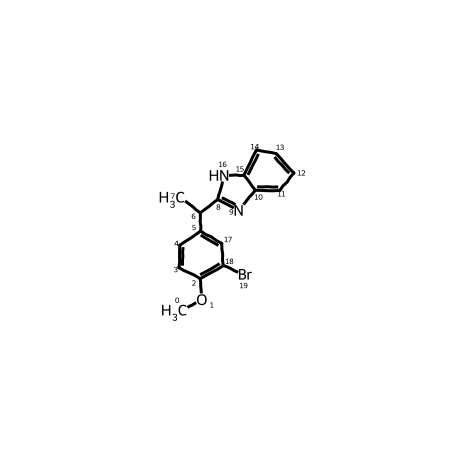 COc1ccc(C(C)c2nc3ccccc3[nH]2)cc1Br